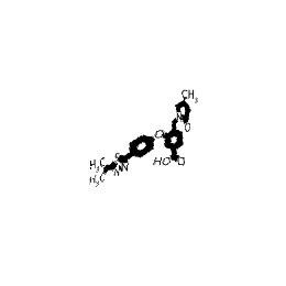 CC(C)c1nnc(-c2ccc(Oc3cc(C(=O)O)ccc3CN3C[C@@H](C)CC3=O)cc2)s1